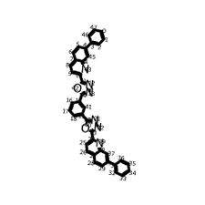 c1ccc(-c2ccc3ccc(-c4nnc(-c5cccc(-c6nnc(-c7ccc8ccc(-c9ccccc9)cc8n7)o6)c5)o4)nc3c2)cc1